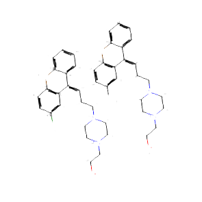 OCCN1CCN(CC/C=C2/c3ccccc3Sc3ccc(C(F)(F)F)cc32)CC1.OCCN1CCN(CCC=C2c3ccccc3Sc3ccc(Cl)cc32)CC1